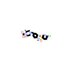 C[C@H]1CN(Cc2ccc(N(C)S(=O)(=O)c3ccc(Cl)nc3)cc2)CCN1C(=O)O